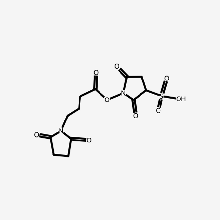 O=C(CCCN1C(=O)CCC1=O)ON1C(=O)CC(S(=O)(=O)O)C1=O